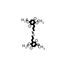 COC1=CC(=O)C(OC)=C(CCCSSCCCC2=C(OC)C(=O)C=C(OC)C2=O)C1=O